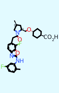 Cc1ccc(F)cc1Nc1nc2ccc(CC(=O)N3C[C@@H](C)C[C@H]3CO[C@H]3CC[C@H](C(=O)O)CC3)c(F)c2o1